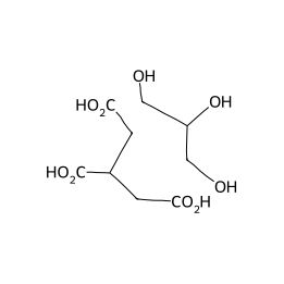 O=C(O)CC(CC(=O)O)C(=O)O.OCC(O)CO